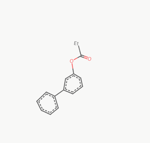 [CH2]CC(=O)Oc1cccc(-c2ccccc2)c1